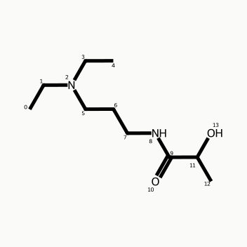 CCN(CC)CCCNC(=O)C(C)O